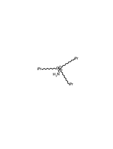 CC(C)CCCCCCCCCO[Si](CCN)(OCCCCCCCCCC(C)C)OCCCCCCCCCC(C)C